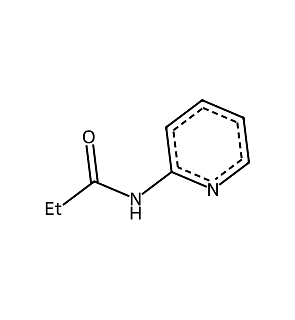 [CH2]CC(=O)Nc1ccccn1